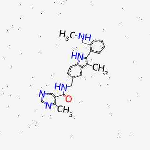 CNCc1ccccc1-c1[nH]c2ccc(CNC(=O)c3cncnc3C)cc2c1C